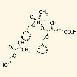 C=C(C)C(=O)OCCO.C=C(C)C(=O)OCc1ccccc1.C=C(C=CC(=O)O)C(=O)OCc1ccccc1